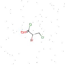 O=C(Cl)C(Br)CCl